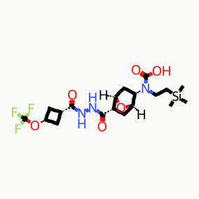 C[Si](C)(C)CCN(C(=O)O)[C@H]1C[C@H]2O[C@@H]1C[C@@H]2C(=O)NNC(=O)[C@H]1C[C@@H](OC(F)(F)F)C1